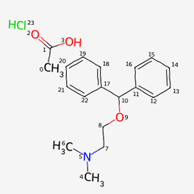 CC(=O)O.CN(C)CCOC(c1ccccc1)c1ccccc1.Cl